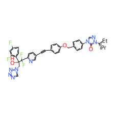 CC[C@@H](C(C)C)n1ncn(-c2ccc(COc3ccc(C#Cc4ccc(C(F)(F)C(O)(Cn5cnnn5)c5ccc(F)cc5F)nc4)cc3)cc2)c1=O